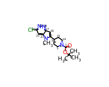 Cn1c(C2CCN(C(=O)OC(C)(C)C)CC2)cc2nnc(Cl)cc21